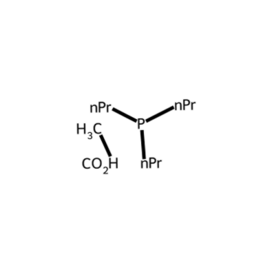 CC(=O)O.CCCP(CCC)CCC